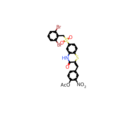 CC(=O)Oc1ccc(C=C2Sc3ccc(S(=O)(=O)Cc4c(Br)cccc4Br)cc3NC2=O)cc1[N+](=O)[O-]